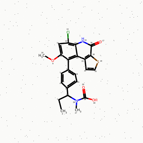 CCC(c1ccc(-c2c(OC)cc(Cl)c3[nH]c(=O)c4sccc4c23)cc1)N(C)C(=O)O